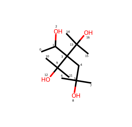 CC(O)C(CC(C)(C)O)(C(C)(C)O)C(C)(C)O